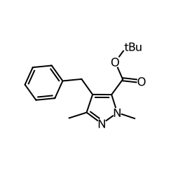 Cc1nn(C)c(C(=O)OC(C)(C)C)c1Cc1ccccc1